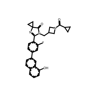 O=C(C1CC1)N1CC(CN2C(=O)C3(CC3)N=C2c2ccc(-c3ccc4cccc(O)c4c3)cc2F)C1